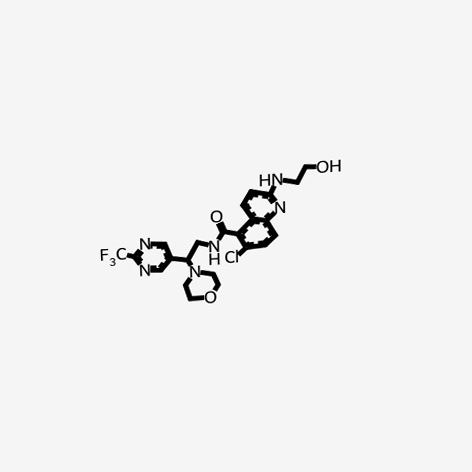 O=C(NCC(c1cnc(C(F)(F)F)nc1)N1CCOCC1)c1c(Cl)ccc2nc(NCCO)ccc12